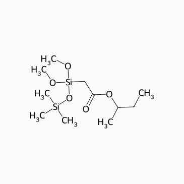 CCC(C)OC(=O)C[Si](OC)(OC)O[Si](C)(C)C